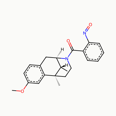 COc1ccc2c(c1)[C@]1(C)CCN(C(=O)c3ccccc3N=O)[C@H](C2)[C@@H]1C